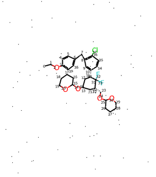 CCOc1ccc(Cc2cc([C@H]3C[C@@H](OC4CCCCO4)C[C@@H](COC4CCCCO4)C3(F)F)ccc2Cl)cc1